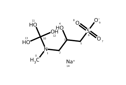 CN(CC(O)CS(=O)(=O)[O-])C(O)(O)O.[Na+]